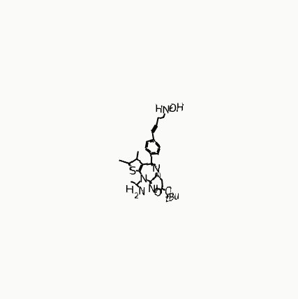 CC1SC2=C(C(c3ccc(C#CCCNO)cc3)=N[C@@H](CC(=O)OC(C)(C)C)C(=N)N2C(C)N)C1C